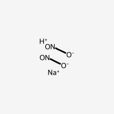 O=N[O-].O=N[O-].[H+].[Na+]